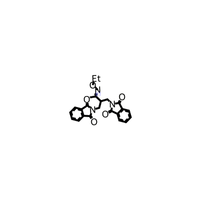 CCO/N=C(\C)C(CN1C(=O)c2ccccc2C1=O)CN1C(=O)c2ccccc2C1=O